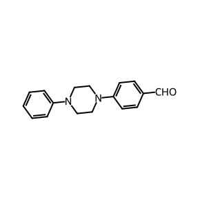 O=Cc1ccc(N2CCN(c3ccccc3)CC2)cc1